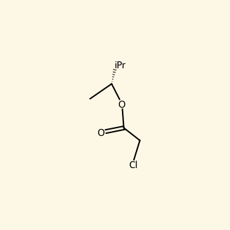 CC(C)[C@@H](C)OC(=O)CCl